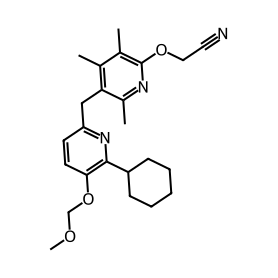 COCOc1ccc(Cc2c(C)nc(OCC#N)c(C)c2C)nc1C1CCCCC1